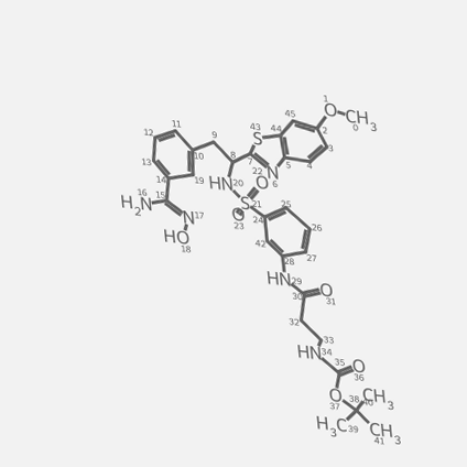 COc1ccc2nc(C(Cc3cccc(C(N)=NO)c3)NS(=O)(=O)c3cccc(NC(=O)CCNC(=O)OC(C)(C)C)c3)sc2c1